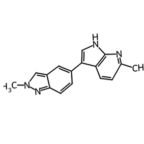 Cc1ccc2c(-c3ccc4nn(C)cc4c3)c[nH]c2n1